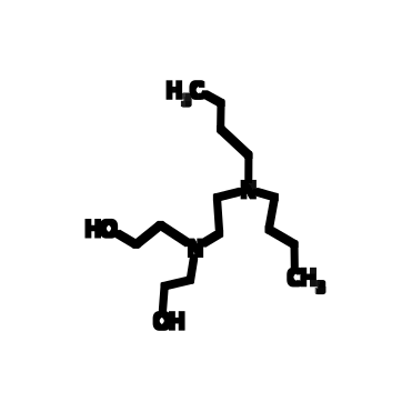 CCCCN(CCCC)CCN(CCO)CCO